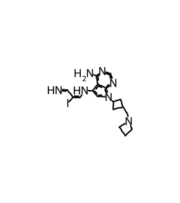 N=C/C(I)=C\Nc1cn(C2CC(CN3CCC3)C2)c2ncnc(N)c12